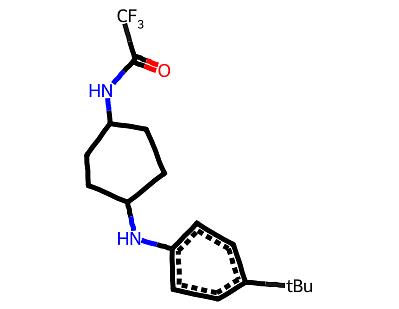 CC(C)(C)c1ccc(NC2CCC(NC(=O)C(F)(F)F)CC2)cc1